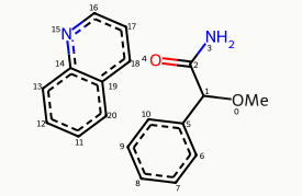 COC(C(N)=O)c1ccccc1.c1ccc2ncccc2c1